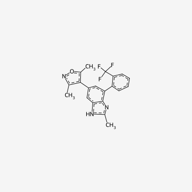 Cc1nc2c(-c3ccccc3C(F)(F)F)cc(-c3c(C)noc3C)cc2[nH]1